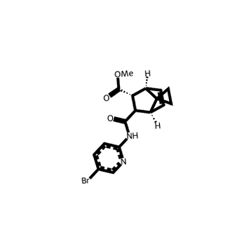 COC(=O)[C@H]1C(C(=O)Nc2ccc(Br)cn2)[C@@H]2C=C[C@H]1C21CC1